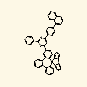 c1ccc2c(c1)-c1ccccc1C1(c3ccc(-c4cc(-c5ccc(-c6cccc7ccccc67)cc5)nc(-c5ccncc5)n4)cc3-2)c2ccccc2-c2ccccc21